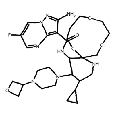 Nc1nn2cc(F)cnc2c1C(=O)NC1C(N2CCN(C3COC3)CC2)C(C2CC2)CNC12CCCCCCCCC2